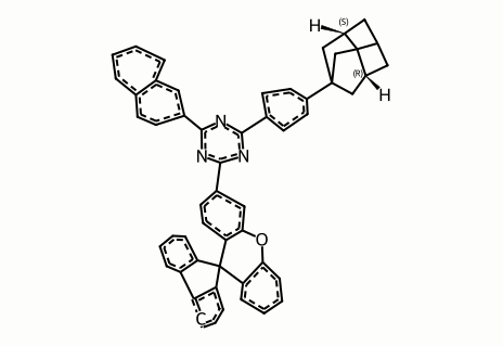 c1ccc2c(c1)Oc1cc(-c3nc(-c4ccc(C56C[C@H]7CC8C[C@@H](C5)C87C6)cc4)nc(-c4ccc5ccccc5c4)n3)ccc1C21c2ccccc2-c2ccccc21